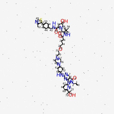 C=CCn1c(=O)c2cnc(Nc3ccc(N4CCN(CCCOCCCCC(=O)N[C@H](C(=O)N5CC(O)CC5C(=O)NCc5ccc(-c6scnc6C)cc5)C(C)(C)C)CC4)cc3)nc2n1-c1cccc(C(C)(C)O)n1